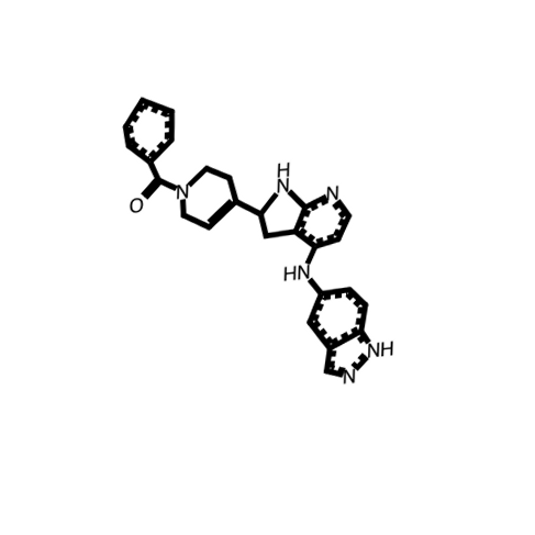 O=C(c1ccccc1)N1CC=C(C2Cc3c(Nc4ccc5[nH]ncc5c4)ccnc3N2)CC1